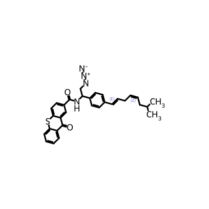 CC(C)C/C=C\C/C=C/c1ccc(C(CN=[N+]=[N-])NC(=O)c2ccc3sc4ccccc4c(=O)c3c2)cc1